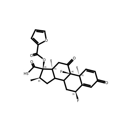 C[C@@H]1CC2C3C[C@H](F)C4=CC(=O)C=C[C@]4(C)[C@@]3(F)C(=O)C[C@]2(C)[C@@]1(OC(=O)c1ccco1)C(=O)S